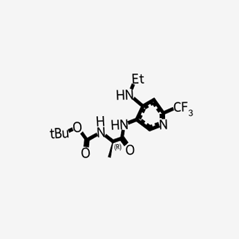 CCNc1cc(C(F)(F)F)ncc1NC(=O)[C@@H](C)NC(=O)OC(C)(C)C